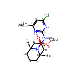 COc1cc(Cl)nc(N(C)C2C[C@H]3CCC[C@@H](C2)N3C(=O)OC(C)(C)C)n1